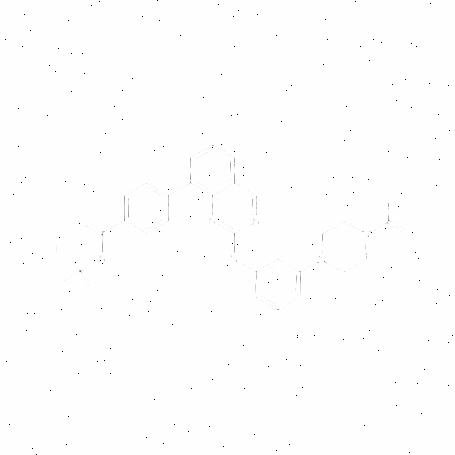 CC(=O)N1CCN(c2cccc(Nc3ncc4cccc(-c5ccc(C(=O)NC(C)(C)C)cc5)c4n3)c2)CC1